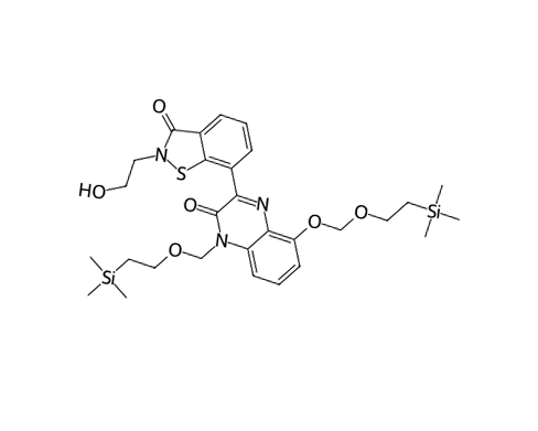 C[Si](C)(C)CCOCOc1cccc2c1nc(-c1cccc3c(=O)n(CCO)sc13)c(=O)n2COCC[Si](C)(C)C